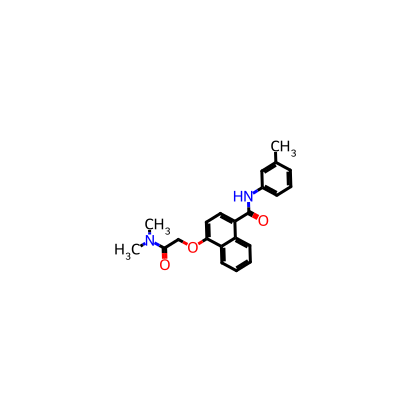 Cc1cccc(NC(=O)c2ccc(OCC(=O)N(C)C)c3ccccc23)c1